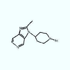 CC(=O)N1CCC(n2c(C)nc3ccncc32)CC1